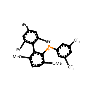 COc1ccc(OC)c(-c2c(C(C)C)cc(C(C)C)cc2C(C)C)c1Pc1cc(C(F)(F)F)cc(C(F)(F)F)c1